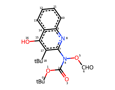 CC(C)(C)OC(=O)N(OC=O)c1nc2ccccc2c(O)c1C(C)(C)C